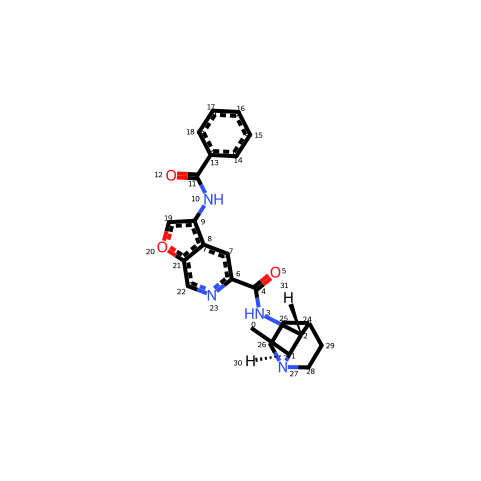 C[C@H]1[C@H](NC(=O)c2cc3c(NC(=O)c4ccccc4)coc3cn2)C2CCN1CC2